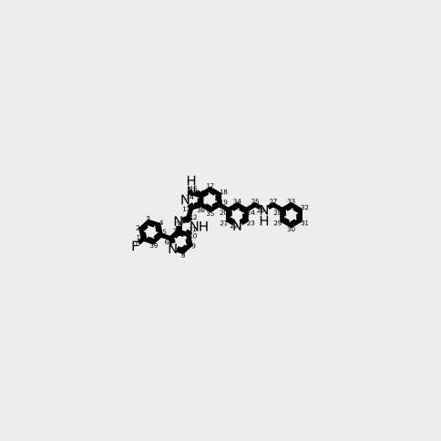 Fc1cccc(-c2nccc3[nH]c(-c4n[nH]c5ccc(-c6cncc(CNCc7ccccc7)c6)cc45)nc23)c1